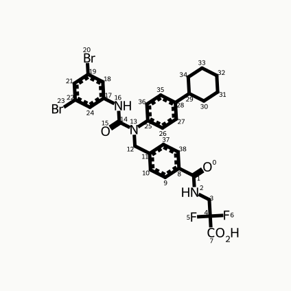 O=C(NCC(F)(F)C(=O)O)c1ccc(CN(C(=O)Nc2cc(Br)cc(Br)c2)c2ccc(C3CCCCC3)cc2)cc1